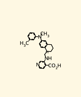 Cc1cccc(N(C)c2ccc3c(c2)CCC[C@H]3CNc2cnccc2C(=O)O)c1